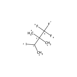 CC(I)C(C)(C)C(F)(F)F